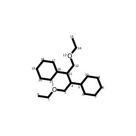 CCOCC(C1CCCCC1)C(COCC)C1CCCCC1